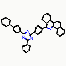 c1ccc(-c2ccc(-c3nc(-c4ccccc4)nc(-c4ccc(-c5nc6c7ccccc7ccc6c6ccccc56)cc4)n3)cc2)cc1